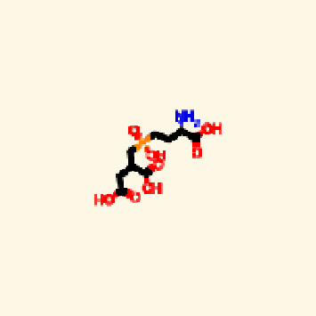 N[C@@H](CCP(=O)(O)CC(CC(=O)O)C(=O)O)C(=O)O